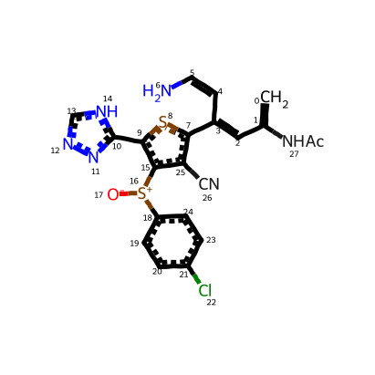 C=C(/C=C(\C=C/N)c1sc(-c2nnc[nH]2)c([S+]([O-])c2ccc(Cl)cc2)c1C#N)NC(C)=O